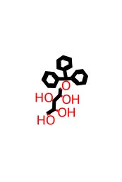 OC[C@H](O)[C@H](O)[C@H](O)COC(c1ccccc1)(c1ccccc1)c1ccccc1